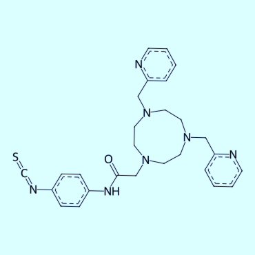 O=C(CN1CCN(Cc2ccccn2)CCN(Cc2ccccn2)CC1)Nc1ccc(N=C=S)cc1